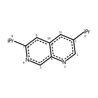 CC(C)c1cnc2cnc(C(C)C)cc2c1